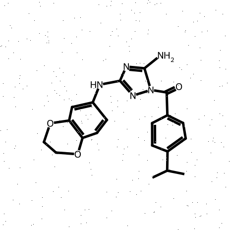 CC(C)c1ccc(C(=O)n2nc(Nc3ccc4c(c3)OCCO4)nc2N)cc1